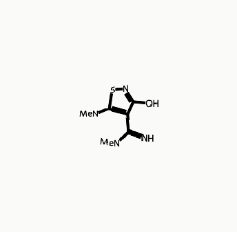 CNC(=N)c1c(O)nsc1NC